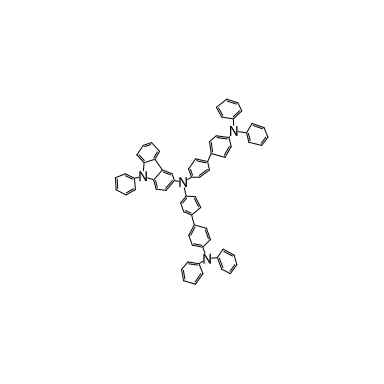 c1ccc(N(c2ccccc2)c2ccc(-c3ccc(N(c4ccc(-c5ccc(N(c6ccccc6)c6ccccc6)cc5)cc4)c4ccc5c(c4)c4ccccc4n5-c4ccccc4)cc3)cc2)cc1